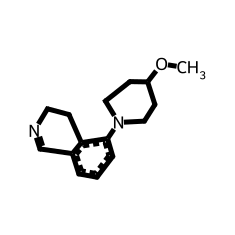 COC1CCN(c2cccc3c2CCN=C3)CC1